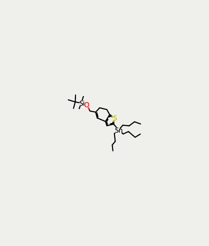 CCC[CH2][Sn]([CH2]CCC)([CH2]CCC)[c]1cc2c(s1)CCC(CO[Si](C)(C)C(C)(C)C)=C2